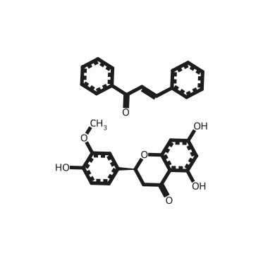 COc1cc([C@@H]2CC(=O)c3c(O)cc(O)cc3O2)ccc1O.O=C(C=Cc1ccccc1)c1ccccc1